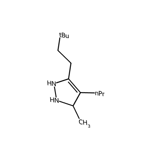 CCCC1=C(CCC(C)(C)C)NNC1C